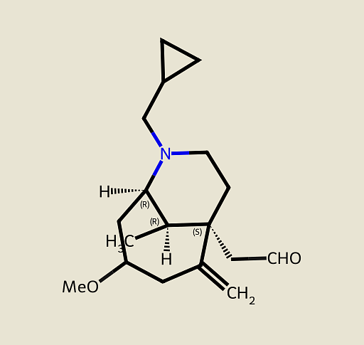 C=C1CC(OC)C[C@@H]2[C@H](C)[C@@]1(CC=O)CCN2CC1CC1